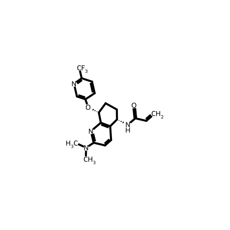 C=CC(=O)N[C@H]1CC[C@@H](Oc2ccc(C(F)(F)F)nc2)c2nc(N(C)C)ccc21